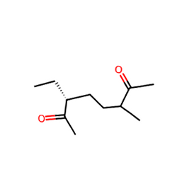 CC[C@H](CCC(C)C(C)=O)C(C)=O